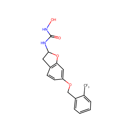 O=C(NO)NC1Cc2ccc(OCc3ccccc3C(F)(F)F)cc2O1